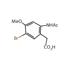 COc1cc(NC(C)=O)c(CC(=O)O)cc1Br